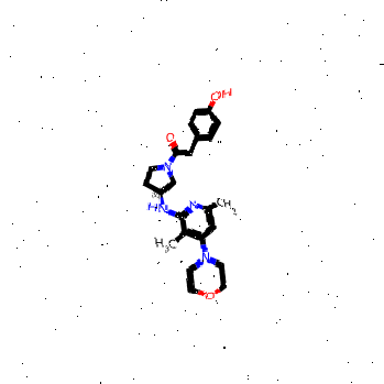 Cc1cc(N2CCOCC2)c(C)c(N[C@H]2CCN(C(=O)Cc3ccc(O)cc3)C2)n1